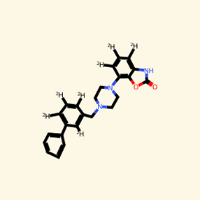 [2H]c1c([2H])c(CN2CCN(c3c([2H])c([2H])c([2H])c4[nH]c(=O)oc34)CC2)c([2H])c(-c2ccccc2)c1[2H]